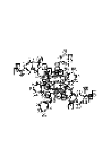 O=C1C(=O)c2ccc(C(F)(F)F)cc2/C1=C/c1nc2c(s1)C1=C(c3sc(/C=C4\C(=O)C(=O)c5ccc(C(F)(F)F)cc54)nc3C1(C(=O)OCc1ccccc1)C(=O)OCc1ccccc1)C2(C(=O)OCc1ccccc1)C(=O)OCc1ccccc1